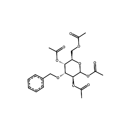 CC(=O)OC[C@H]1OC(OC(C)=O)[C@@H](OC(C)=O)[C@H](OCc2ccccc2)[C@@H]1OC(C)=O